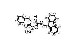 CC(C)(C)OC(=O)C(Cc1ccccc1)NC(=O)OCC1c2ccccc2-c2ccccc21